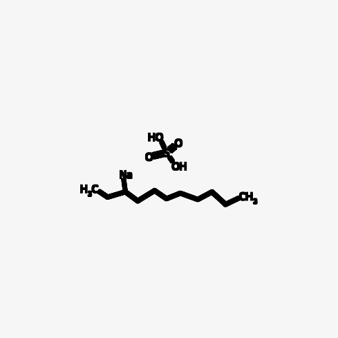 CCCCCCCC[CH]([Na])CC.O=S(=O)(O)O